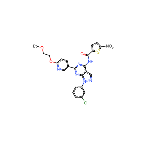 CCOCCOc1ccc(-c2nc(NC(=O)c3ccc([N+](=O)[O-])s3)c3cnn(-c4cccc(Cl)c4)c3n2)cn1